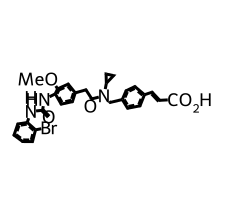 COc1cc(CC(=O)N(Cc2ccc(/C=C/C(=O)O)cc2)C2CC2)ccc1NC(=O)Nc1ccccc1Br